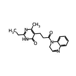 CCc1nc(C)c(CCC(=O)N2CC=Nc3ccccc32)c(=O)[nH]1